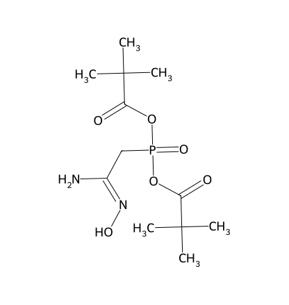 CC(C)(C)C(=O)OP(=O)(CC(N)=NO)OC(=O)C(C)(C)C